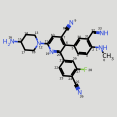 CNc1ccc(-c2c(C#N)cc(N3CCC(N)CC3)nc2-c2ccc(C#N)c(F)c2)cc1C=N